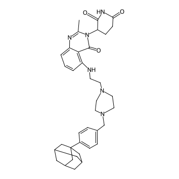 Cc1nc2cccc(NCCN3CCN(Cc4ccc(C56CC7CC(CC(C7)C5)C6)cc4)CC3)c2c(=O)n1C1CCC(=O)NC1=O